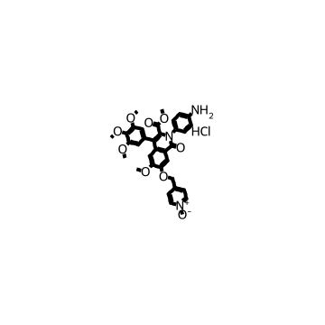 COC(=O)c1c(-c2cc(OC)c(OC)c(OC)c2)c2cc(OC)c(OCc3cc[n+]([O-])cc3)cc2c(=O)n1-c1ccc(N)cc1.Cl